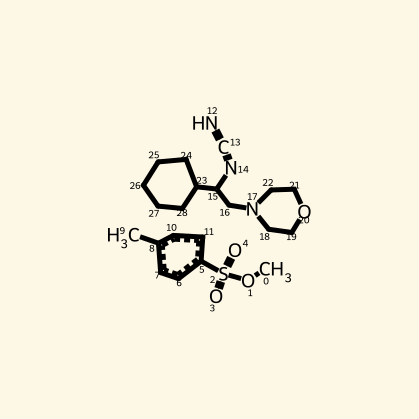 COS(=O)(=O)c1ccc(C)cc1.N=C=NC(CN1CCOCC1)C1CCCCC1